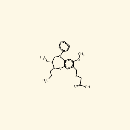 CCCN1Sc2cc(CSCC(=O)O)c(SC)cc2N(c2ccccc2)CC1CC